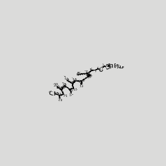 CCCCOCOCCCC(C)CC(C)CC(C)CC(C)CC(C)CC(C)Cl